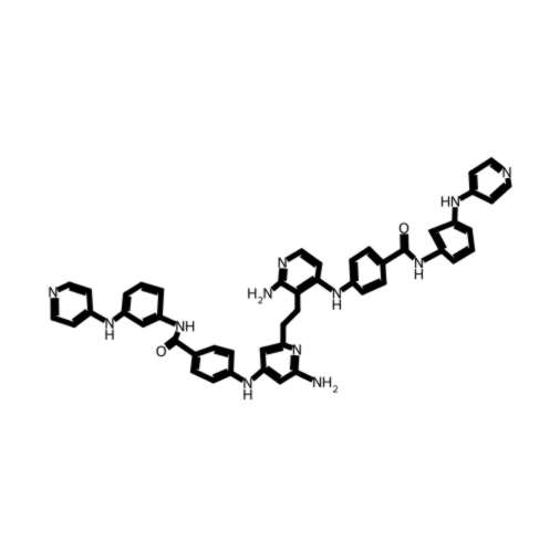 Nc1cc(Nc2ccc(C(=O)Nc3cccc(Nc4ccncc4)c3)cc2)cc(CCc2c(Nc3ccc(C(=O)Nc4cccc(Nc5ccncc5)c4)cc3)ccnc2N)n1